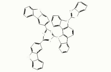 c1ccc2oc(-n3c4ccccc4c4c3ccc3c5ccccc5n(-c5nc(-c6ccc7oc8ccccc8c7c6)nc(-c6ccc7oc8ccccc8c7c6)n5)c34)nc2c1